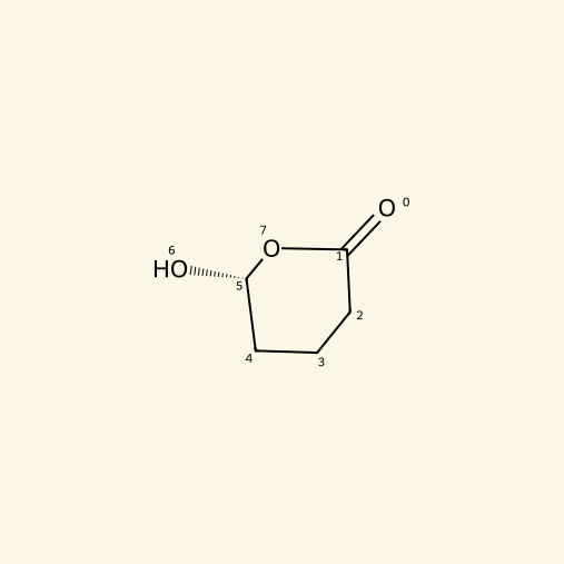 O=C1CCC[C@H](O)O1